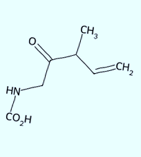 C=CC(C)C(=O)CNC(=O)O